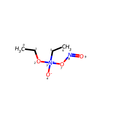 CCO[N+]([O-])(CC)ON=O